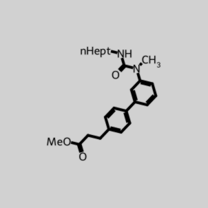 CCCCCCCNC(=O)N(C)c1cccc(-c2ccc(CCC(=O)OC)cc2)c1